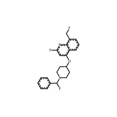 FCc1cccc2c(OC3CCN(C(F)c4ccccc4)CC3)cc(F)nc12